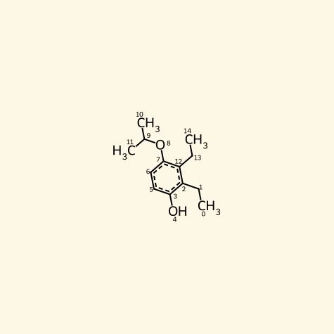 CCc1c(O)ccc(OC(C)C)c1CC